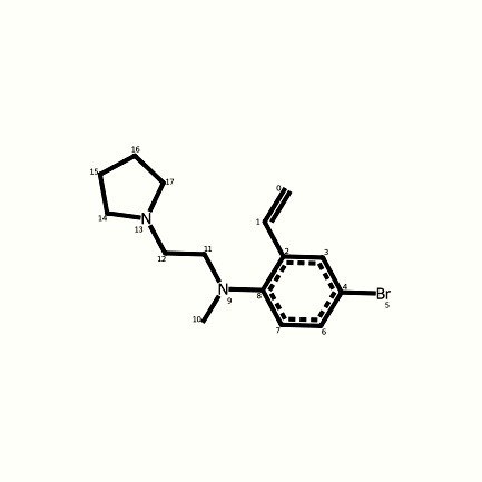 C=Cc1cc(Br)ccc1N(C)CCN1CCCC1